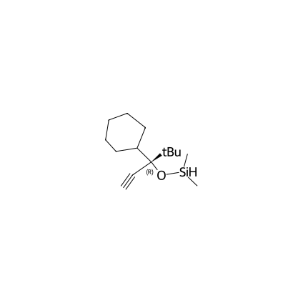 C#C[C@@](O[SiH](C)C)(C1CCCCC1)C(C)(C)C